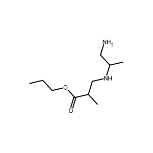 CCCOC(=O)C(C)CNC(C)CN